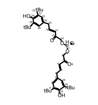 CC(C)(C)c1cc(CC=CC(=O)CO[PH](=O)OCC(=O)C=CCc2cc(C(C)(C)C)c(O)c(C(C)(C)C)c2)cc(C(C)(C)C)c1O